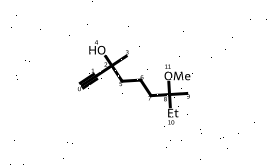 C#CC(C)(O)CCCC(C)(CC)OC